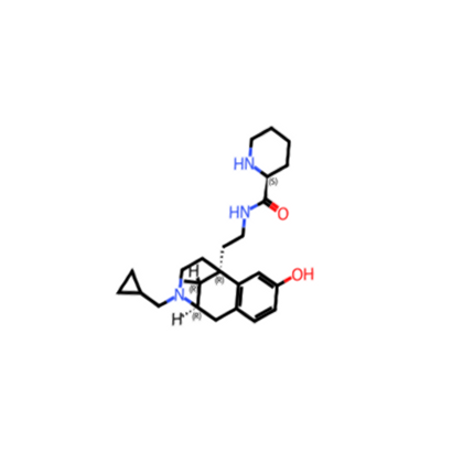 C[C@H]1[C@H]2Cc3ccc(O)cc3[C@]1(CCNC(=O)[C@@H]1CCCCN1)CCN2CC1CC1